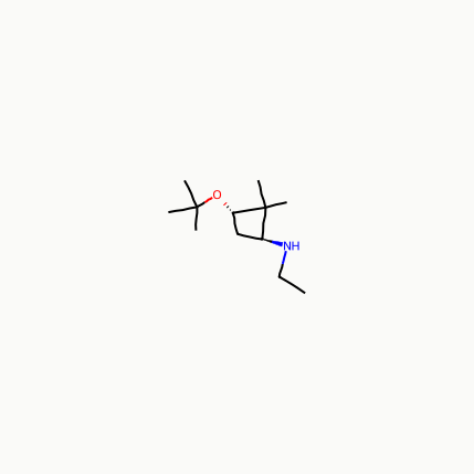 CCN[C@H]1C[C@H](OC(C)(C)C)C1(C)C